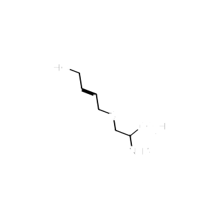 CC(=O)NC(CSCC=CCO)C(=O)O